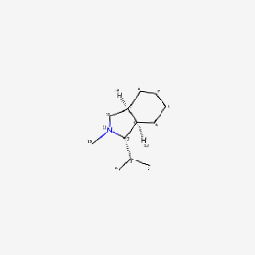 CC(C)[C@H]1[C@@H]2CCCC[C@@H]2CN1C